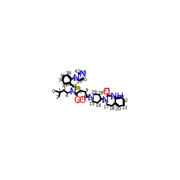 CC(C)CCN1C(=O)C(CC(=O)N2CCC(N3CCc4ccccc4NC3=O)CC2)SC1c1ccccc1-n1ccnc1